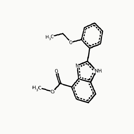 CCOc1ccccc1-c1nc2c(C(=O)OC)cccc2[nH]1